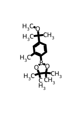 COC(C)(C)c1ccc(B2OC(C)(C)C(C)(C)O2)c(C)c1